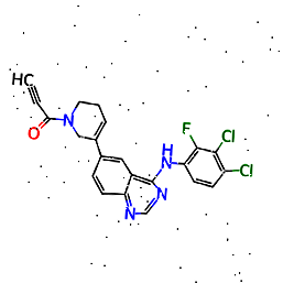 C#CC(=O)N1CCC=C(c2ccc3ncnc(Nc4ccc(Cl)c(Cl)c4F)c3c2)C1